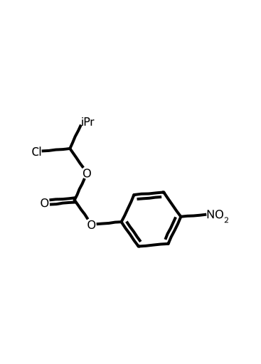 CC(C)C(Cl)OC(=O)Oc1ccc([N+](=O)[O-])cc1